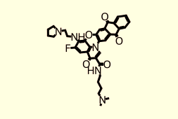 CN(C)CCCCNC(=O)c1cn2c3cc4c(=O)c5ccccc5c(=O)c4cc3oc3c(NCCN4CCCC4)c(F)cc(c1=O)c32